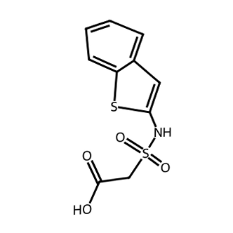 O=C(O)CS(=O)(=O)Nc1cc2ccccc2s1